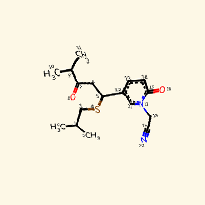 CC(C)CSC(CC(=O)C(C)C)c1ccc(=O)n(CC#N)c1